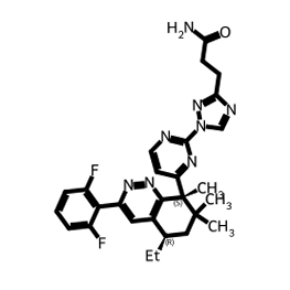 CC[C@@H]1CC(C)(C)[C@@](C)(c2ccnc(-n3cnc(CCC(N)=O)n3)n2)c2nnc(-c3c(F)cccc3F)cc21